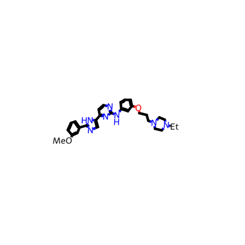 CCN1CCN(CCCOc2cccc(Nc3nccc(-c4cnc(-c5cccc(OC)c5)[nH]4)n3)c2)CC1